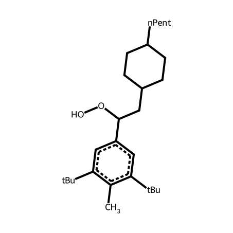 CCCCCC1CCC(CC(OO)c2cc(C(C)(C)C)c(C)c(C(C)(C)C)c2)CC1